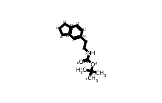 CC(C)(C)OC(=O)NCCc1ccc2c(c1)CCC2